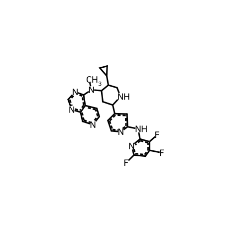 CN(c1ncnc2cnccc12)C1CC(c2ccnc(Nc3nc(F)cc(F)c3F)c2)NCC1C1CC1